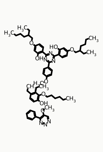 CCCCC(CC)COc1ccc(-c2nc(-c3ccc(OC)cc3)nc(-c3ccc(OCC(CC)CCCC)cc3O)n2)c(O)c1.CCCCCCOc1c(O)ccc(CC)c1CC.COc1cnnnc1-c1ccccc1